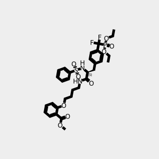 CCOP(=O)(OCC)C(F)(F)c1ccc(C[C@H](NS(=O)(=O)c2ccccc2)C(=O)NCCCCOc2ccccc2C(=O)OC)cc1